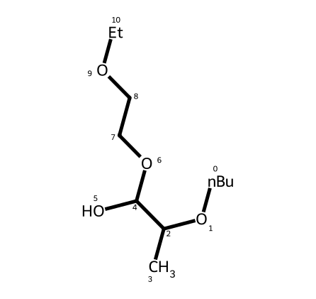 CCCCOC(C)C(O)OCCOCC